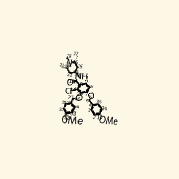 COc1ccc(COc2ccc(C(=O)N[C@H]3C[C@@H](C)N(C)[C@@H](C)C3)c(Cl)c2OCc2ccc(OC)cc2)cc1